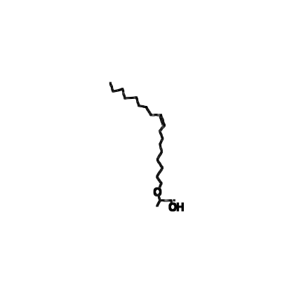 CCCCCCCC/C=C\CCCCCCCCOC(C)[CH]O